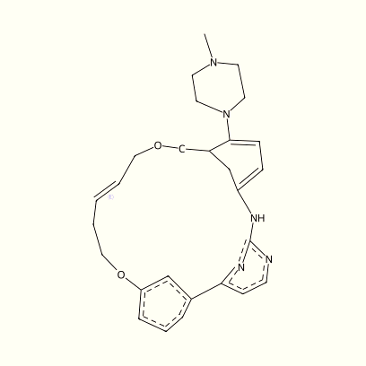 CN1CCN(C2=CC=C3CC2COC/C=C/CCOc2cccc(c2)-c2ccnc(n2)N3)CC1